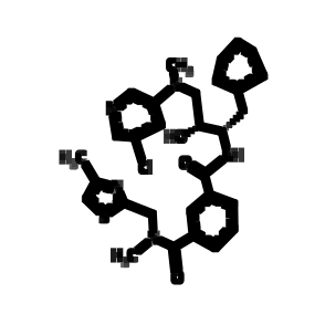 Cc1csc(CN(C)C(=O)c2cccc(C(=O)N[C@@H](Cc3ccccc3)[C@H](O)CN(C)c3cncc(Cl)c3)c2)n1